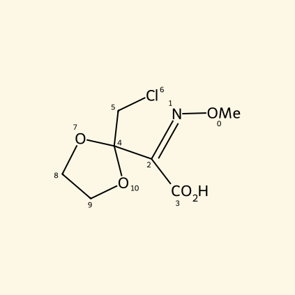 CO/N=C(\C(=O)O)C1(CCl)OCCO1